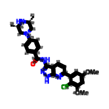 COc1cc(OC)c(Cl)c(-c2ccc3c(NC(=O)c4ccc(N5C[C@@H](C)N[C@@H](C)C5)cc4)n[nH]c3n2)c1